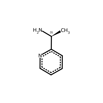 C[C@H](N)c1ccccn1